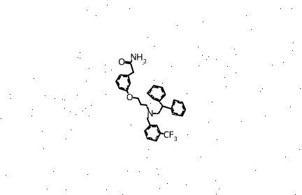 NC(=O)Cc1cccc(OCCCN(Cc2cccc(C(F)(F)F)c2)CC(c2ccccc2)c2ccccc2)c1